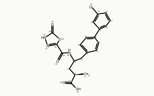 C[C@H](CC(Cc1ccc(-c2cccc(Cl)c2)cc1)NC(=O)c1n[nH]c(=O)o1)C(=O)O